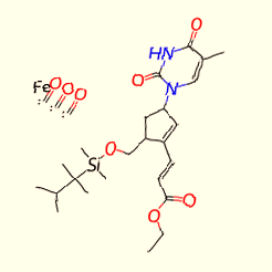 CCOC(=O)C=CC1=CC(n2cc(C)c(=O)[nH]c2=O)CC1CO[Si](C)(C)C(C)(C)C(C)C.[C]=O.[C]=O.[C]=O.[Fe]